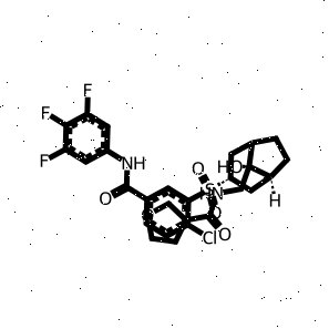 O=C(Nc1cc(F)c(F)c(F)c1)c1ccc(Cl)c(S(=O)(=O)[C@@H]2CC3CC[C@@H](C2)[C@@]3(O)CNC(=O)C2CCOC2)c1